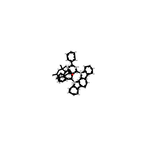 CC1CC(C)(C)c2ccc(-n3c4ccccc4c4ccc5c6ccccc6n(-c6nc(-c7ccccc7)nc(-c7ccccc7)n6)c5c43)cc2C1(C)C